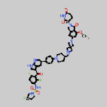 COc1cc(N2CC3(CN(CC4CCN(c5ccc(-c6cnc7[nH]cc(C(=O)c8c(F)ccc(NS(=O)(=O)N9CC[C@@H](F)C9)c8F)c7c6)cc5)CC4)C3)C2)cc2c1C(=O)N([C@@H]1CCC(=O)NC1=O)C2